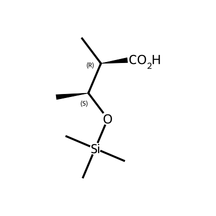 C[C@H](O[Si](C)(C)C)[C@@H](C)C(=O)O